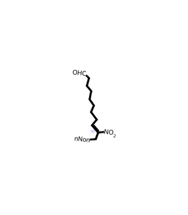 CCCCCCCCCC/C(=C/CCCCCCCC=O)[N+](=O)[O-]